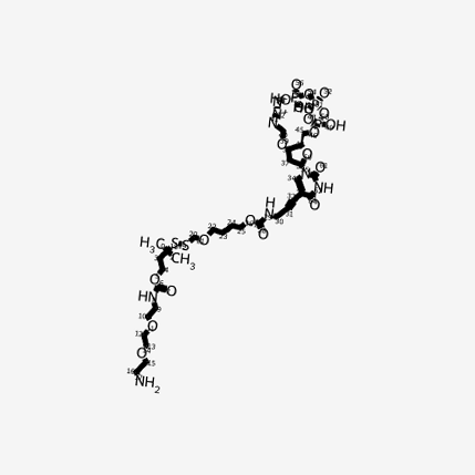 CC(C)(CCOC(=O)NCCOCCOCCN)SSCOCCCCOC(=O)NCC#Cc1cn(C2C[C@H](OCN=[N+]=[N-])[C@@H](COP(=O)(O)OP(=O)(O)OP(=O)(O)O)O2)c(=O)[nH]c1=O